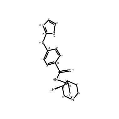 O=C(N[C@H]1CN2CCC1CC2)c1ccc(Sc2ncco2)cc1